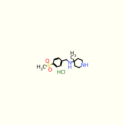 CC1(NCc2ccc(S(C)(=O)=O)cc2)CCNCC1.Cl